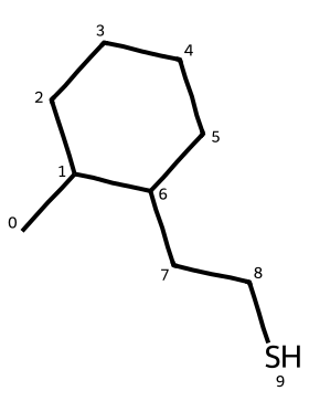 CC1CCCCC1CCS